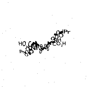 CC(OC(=O)N[C@H](CC(C)(C)COS(=O)(=O)CCCS(=O)(=O)OCC(C)(C)C[C@@H](NC(=O)OC(C)OC(=O)C(C)C)C(=O)O)C(=O)O)OC(=O)C(C)C